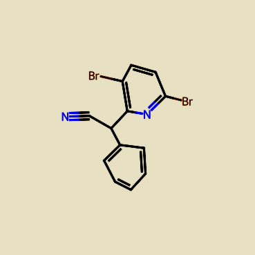 N#CC(c1ccccc1)c1nc(Br)ccc1Br